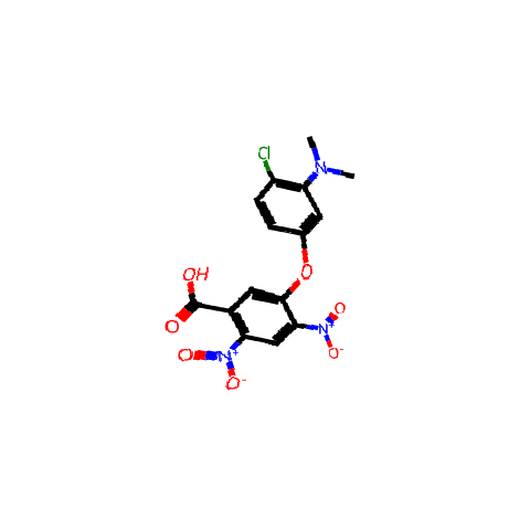 CN(C)c1cc(Oc2cc(C(=O)O)c([N+](=O)[O-])cc2[N+](=O)[O-])ccc1Cl